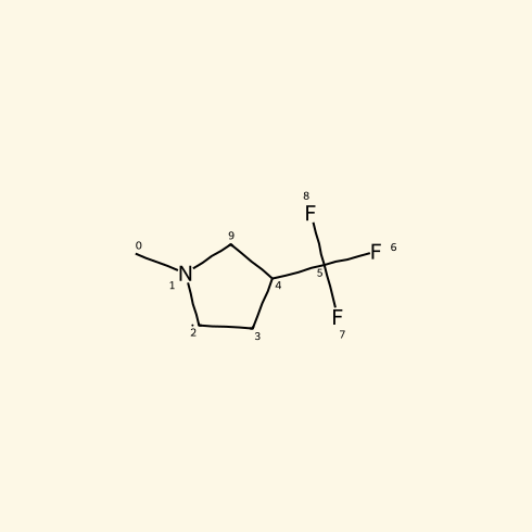 CN1[CH]CC(C(F)(F)F)C1